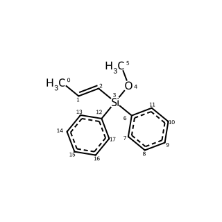 CC=C[Si](OC)(c1ccccc1)c1ccccc1